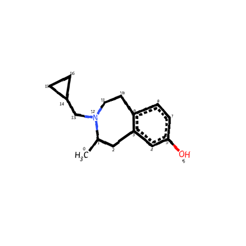 CC1Cc2cc(O)ccc2CCN1CC1CC1